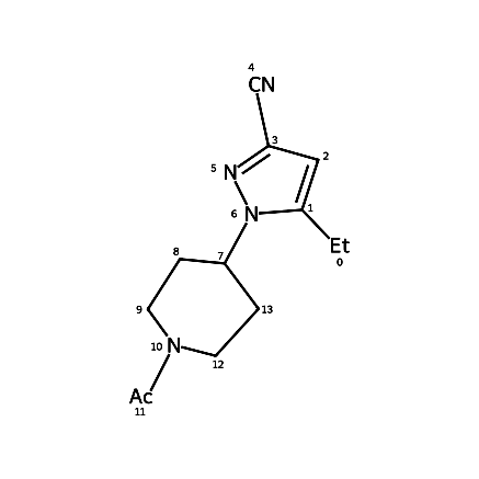 CCc1cc(C#N)nn1C1CCN(C(C)=O)CC1